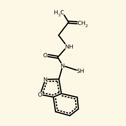 C=C(C)CNC(=O)N(S)c1noc2ccccc12